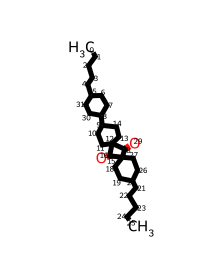 CCCCCC1CCC(C2CCC3(CC2)C(=O)C2(CCC(CCCCC)CC2)C3=O)CC1